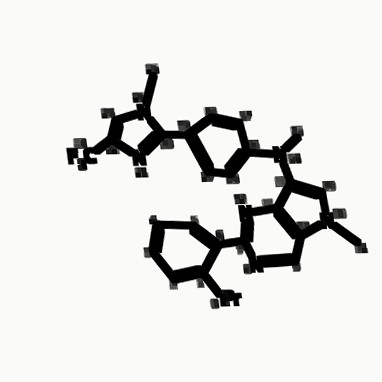 CC(C)c1ccccc1-c1ncc2c(n1)c(N(C)c1ccc(-c3nc(C(F)(F)F)cn3C)cc1)cn2C